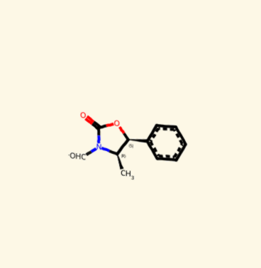 C[C@@H]1[C@H](c2ccccc2)OC(=O)N1[C]=O